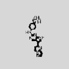 CCC1(O)CCC(Nc2ncc3c(-c4ccn5nccc5n4)c[nH]c3n2)CC1